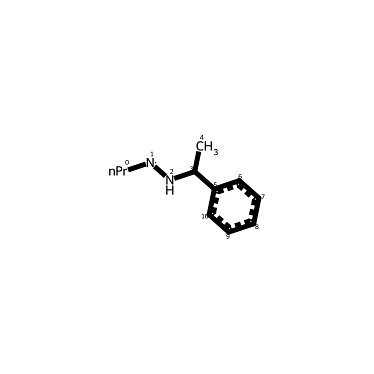 CCC[N]NC(C)c1ccccc1